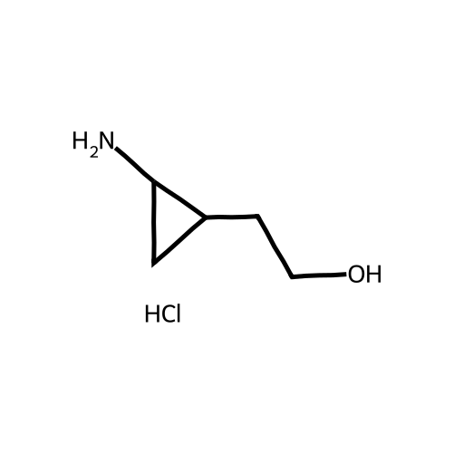 Cl.NC1CC1CCO